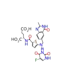 Cc1nc2ccc(CN(C)c3ccc(C(=O)N[C@@H](CCC(=O)O)C(=O)O)s3)cc2c(=O)[nH]1.O=c1[nH]cc(F)c(=O)[nH]1